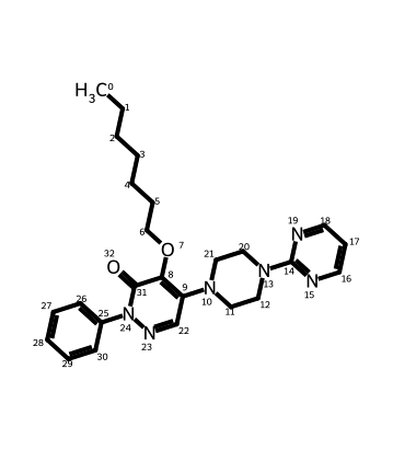 CCCCCCCOc1c(N2CCN(c3ncccn3)CC2)cnn(-c2ccccc2)c1=O